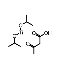 CC(=O)CC(=O)O.CC(C)[O][Ti][O]C(C)C